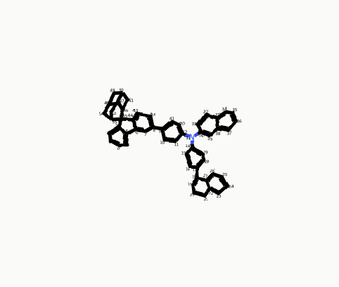 c1ccc2c(c1)-c1cc(-c3ccc(N(c4ccc(-c5cccc6ccccc56)cc4)c4ccc5ccccc5c4)cc3)ccc1C21C2CC3CC(C2)CC1C3